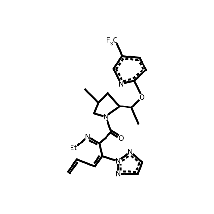 C=C/C=C(\C(=N/CC)C(=O)N1CC(C)CC1C(C)Oc1ccc(C(F)(F)F)cn1)n1nccn1